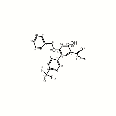 COC(=O)c1cc(-c2ccc(C(F)(F)F)cc2)c(OCc2ccccc2)cc1O